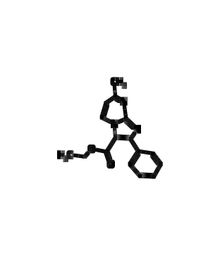 CCOC(=O)c1c(-c2ccccc2)nc2nc(C)ccn12